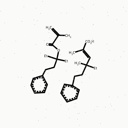 C=C(C)C(=O)OC(CC)(CC)CCc1ccccc1.CCC(C)(C=C(C)C(=O)O)CCc1ccccc1